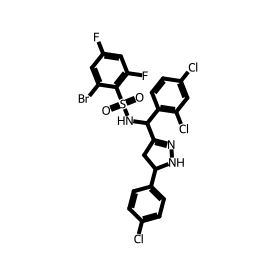 O=S(=O)(NC(C1=NNC(c2ccc(Cl)cc2)C1)c1ccc(Cl)cc1Cl)c1c(F)cc(F)cc1Br